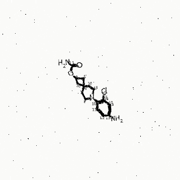 NC(=O)OC1CC2(CCN(c3ccc(N)cc3Cl)CC2)C1